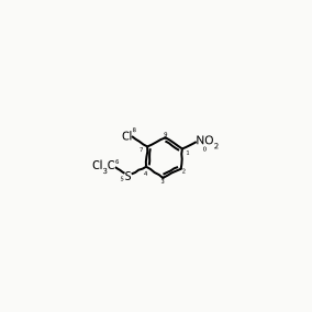 O=[N+]([O-])c1ccc(SC(Cl)(Cl)Cl)c(Cl)c1